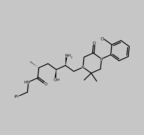 CC(C)CNC(=O)[C@H](C)C[C@H](O)[C@@H](N)CN1CC(=O)N(c2ccccc2Cl)CC1(C)C